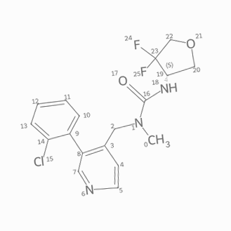 CN(Cc1ccncc1-c1ccccc1Cl)C(=O)N[C@H]1COCC1(F)F